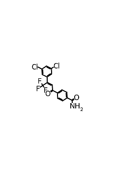 NC(=O)c1ccc(C(=O)C=C(c2cc(Cl)cc(Cl)c2)C(F)(F)F)cc1